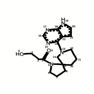 O=C(CCO)N1CCCC12CCCN(c1ncnc3[nH]ccc13)C2